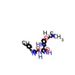 CCc1cccc(Cn2cc(C(=O)Nc3c[nH]c(=O)c(-c4cc5cc(OCCCN(C)C)ccc5[nH]4)c3)cn2)c1